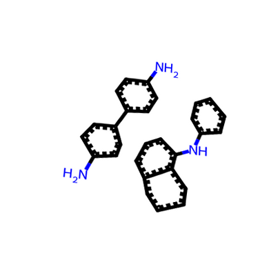 Nc1ccc(-c2ccc(N)cc2)cc1.c1ccc(Nc2cccc3ccccc23)cc1